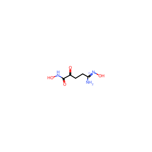 N/C(CCC(=O)C(=O)NO)=N\O